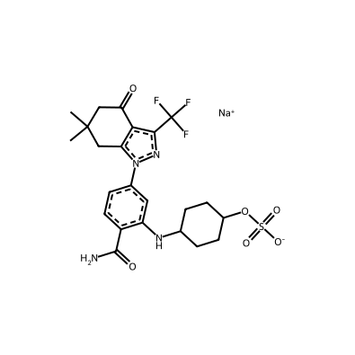 CC1(C)CC(=O)c2c(C(F)(F)F)nn(-c3ccc(C(N)=O)c(NC4CCC(OS(=O)(=O)[O-])CC4)c3)c2C1.[Na+]